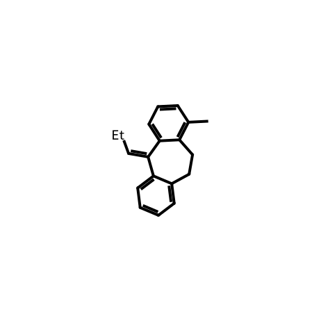 CCC=C1c2ccccc2CCc2c(C)cccc21